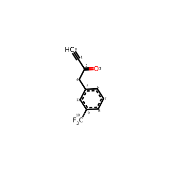 C#CC(=O)Cc1cccc(C(F)(F)F)c1